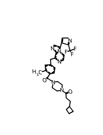 Cc1cc(Cc2nccn3c(C4=CCN=C4C(F)(F)F)cnc23)ccc1C(=O)N1CCN(C(=O)CCC2CCC2)CC1